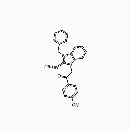 Br.N=c1n(CC(=O)c2ccc(O)cc2)c2ccccc2n1Cc1ccccc1